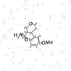 COc1cccc(C2CCOCC2C(N)=O)c1